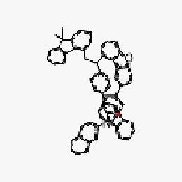 CC1(C)c2ccccc2-c2c(CC(c3ccc(-c4ccccc4)cc3)c3cccc4oc5ccc(-c6ccc7c(c6)c6ccccc6n7-c6ccc7ccccc7c6)cc5c34)cccc21